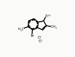 CC1=Cc2c(ccc(C)c2Br)[CH]1[Zr+2].[Cl-].[Cl-]